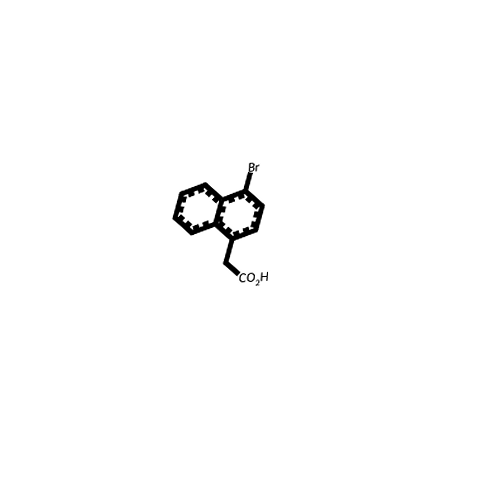 O=C(O)Cc1ccc(Br)c2ccccc12